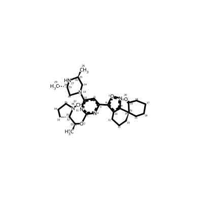 C[C@H](Oc1nc(-c2onc3c2CCC[C@@]32CCCCC2=O)cc(N2C[C@H](C)N[C@@H](C)C2)n1)[C@@H]1CCCN1C